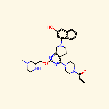 C=CC(=O)N1CCN(c2nc(OCC3CN(C)CCN3)nc3c2CCN(c2cc(O)cc4ccccc24)C3)CC1